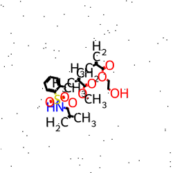 C=C(C)C(=O)NS(=O)(=O)c1ccccc1C.C=C(C)C(=O)OC.C=C(C)C(=O)OCCO